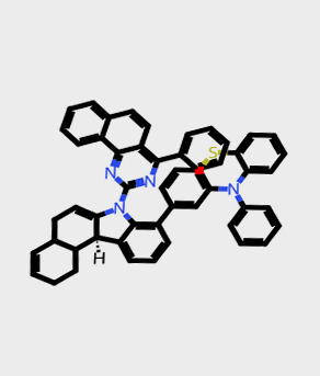 C1=CC2CC=C3[C@@H](c4cccc(-c5ccc6c(c5)N(c5ccccc5)c5ccccc5S6)c4N3c3nc(-c4ccccc4)c4ccc5ccccc5c4n3)C2CC1